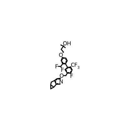 CC(C)(O)CCOc1ccc(-c2cc(COc3cc4c(cn3)C3CC3C4)c(F)cc2C(F)(F)F)c(C(F)F)c1